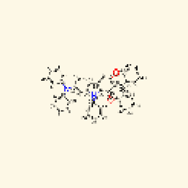 c1ccc(N(c2ccccc2)c2ccc3c4cc5c6c(c4n(-c4ccccc4)c3c2)Oc2ccccc2B6c2ccccc2O5)cc1